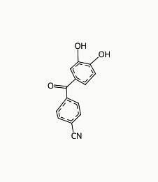 N#Cc1ccc(C(=O)c2ccc(O)c(O)c2)cc1